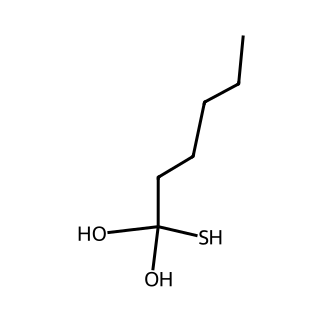 CCCCCC(O)(O)S